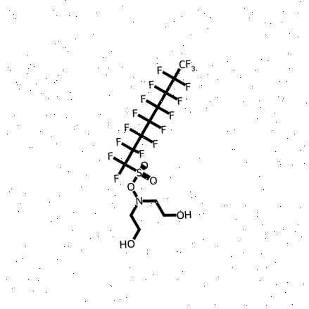 O=S(=O)(ON(CCO)CCO)C(F)(F)C(F)(F)C(F)(F)C(F)(F)C(F)(F)C(F)(F)C(F)(F)C(F)(F)F